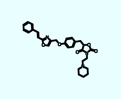 O=C1OC(Cc2ccc(OCc3coc(C=Cc4ccccc4)n3)cc2)C(=O)N1CCN1CCCCC1